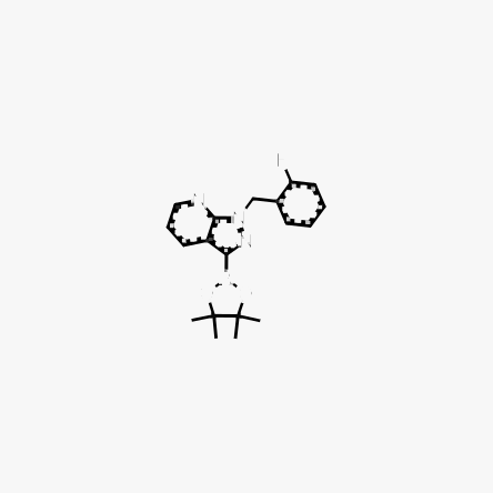 CC1(C)OB(c2nn(Cc3ccccc3F)c3ncccc23)OC1(C)C